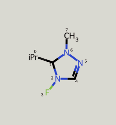 CC(C)C1N(F)C=NN1C